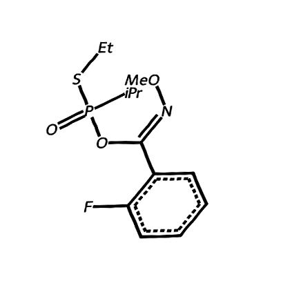 CCSP(=O)(OC(=NOC)c1ccccc1F)C(C)C